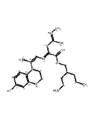 CCCC(CCN)CPC(=O)/C(=N/C=C(/N)N1CCOc2cc(F)ccc21)S/C(C)=N/C